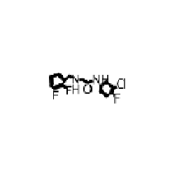 O=C(CNCc1cccc(F)c1F)Nc1ccc(F)c(Cl)c1